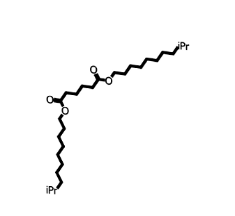 CC(C)CCCCCCCCOC(=O)CCCCC(=O)OCCCCCCCCC(C)C